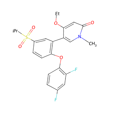 CCOc1cc(=O)n(C)cc1-c1cc(S(=O)(=O)C(C)C)ccc1Oc1ccc(F)cc1F